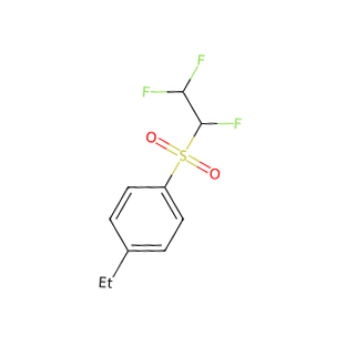 CCc1ccc(S(=O)(=O)C(F)C(F)F)cc1